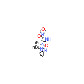 CCCCn1c(C(=O)N(CC(C)C)[C@@H]2CNC[C@H](C(=O)N3CCOCC3)C2)nc2ccccc21